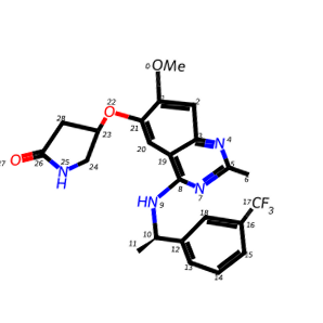 COc1cc2nc(C)nc(N[C@H](C)c3cccc(C(F)(F)F)c3)c2cc1OC1CNC(=O)C1